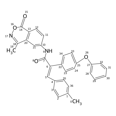 Cc1ccc(/C=C(/C(=O)Nc2ccc3c(=O)onc(C)c3c2)c2ccc(Oc3ccccc3)cc2)cc1